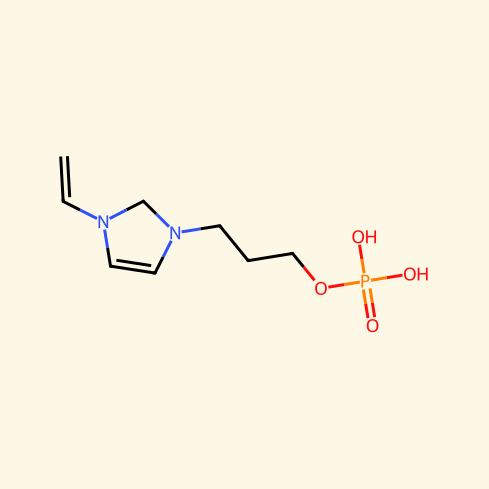 C=CN1C=CN(CCCOP(=O)(O)O)C1